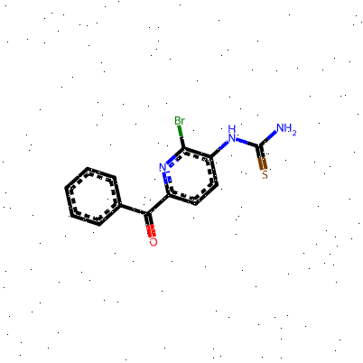 NC(=S)Nc1ccc(C(=O)c2ccccc2)nc1Br